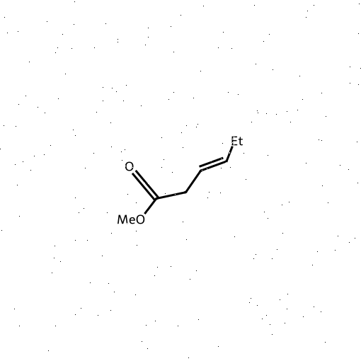 [CH2]CC=CCC(=O)OC